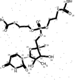 CC(C)(C)C(=O)SCCOP(=O)(OCCSC(=O)C(C)(C)C)OC[C@@]1(F)O[C@@H](n2ccc(=O)[nH]c2=O)[C@](C)(O)C1O